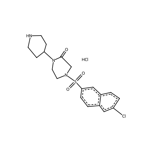 Cl.O=C1CN(S(=O)(=O)c2ccc3cc(Cl)ccc3c2)CCN1C1CCNCC1